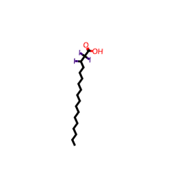 CCCCCCCCCCCCCCCC(I)C(I)(I)C(=O)O